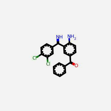 N=C(c1ccc(Cl)c(Cl)c1)c1cc(C(=O)c2ccccc2)ccc1N